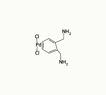 NCc1ccccc1CN.[Cl][Pd][Cl]